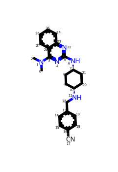 CN(C)c1nc(N[C@H]2CC[C@@H](NCc3ccc(C#N)cc3)CC2)nc2ccccc12